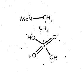 C.CNC.O=S(=O)(O)O